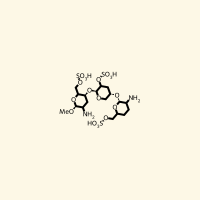 CO[C@H]1OC(COS(=O)(=O)O)[C@@H](O[C@@H]2OC[C@@H](O[C@H]3OC(COS(=O)(=O)O)CCC3N)CC2OS(=O)(=O)O)CC1N